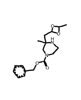 CC1OC(CC2(C)CN(C(=O)OCc3ccccc3)CCN2)O1